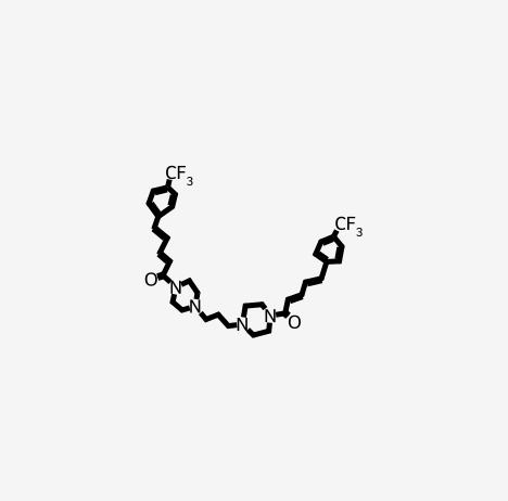 O=C(C=CC=Cc1ccc(C(F)(F)F)cc1)N1CCN(CCCN2CCN(C(=O)C=CC=Cc3ccc(C(F)(F)F)cc3)CC2)CC1